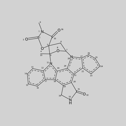 CN1C(=O)OC2(CC3OC2(C)n2c4ccccc4c4c5c(c6c7ccccc7n3c6c42)C(=O)NC5)C1=O